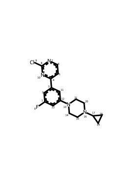 Fc1cc(-c2ccnc(Cl)n2)cc(N2CCN(C3CC3)CC2)c1